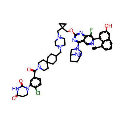 C#Cc1cccc2cc(O)cc(-c3ncc4c(N5CC6CCC(C5)N6)nc(OCC5(CN6CCN(CC7CCC8(CC7)CCN(C(=O)c7ccc(Cl)c(N9CCC(=O)NC9=O)c7)CC8)CC6)CC5)nc4c3F)c12